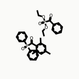 CCOP(=O)(OCC)C(=O)c1ccccc1.Cc1cc(C)c(C(=O)P(=O)(c2ccccc2)c2ccccc2)c(C)c1